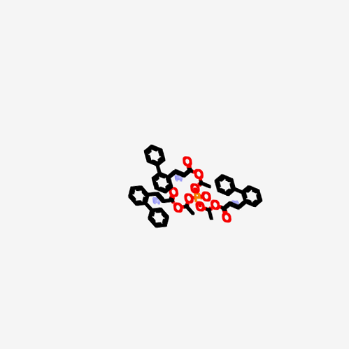 CC(OC(=O)/C=C/c1ccccc1-c1ccccc1)OP(=O)(OC(C)OC(=O)/C=C/c1ccccc1-c1ccccc1)OC(C)OC(=O)/C=C/c1ccccc1-c1ccccc1